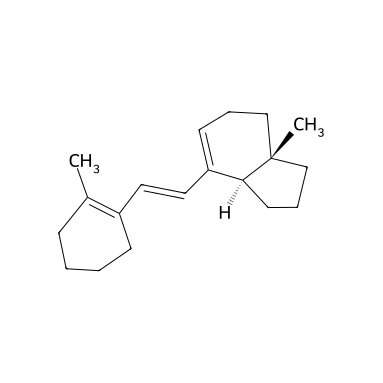 CC1=C(/C=C/C2=CCC[C@]3(C)CCC[C@@H]23)CCCC1